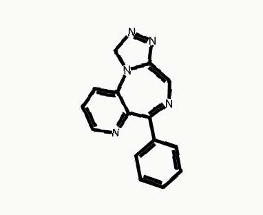 C1=C2N=NCN2c2cccnc2C(c2ccccc2)=N1